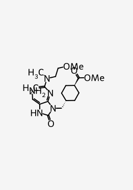 C=C(/N=C1\C(=C/N)NC(=O)N1C[C@H]1CC[C@H](C(=O)OC)CC1)N(C)CCOC